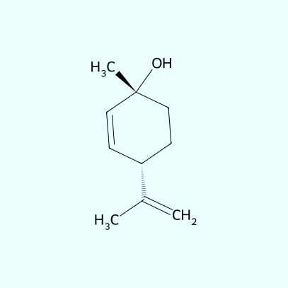 C=C(C)[C@@H]1C=C[C@](C)(O)CC1